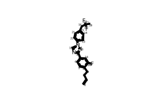 C=CCCc1ccc(-c2ncn(-c3ccc(CC(C)(F)F)cc3)n2)cc1F